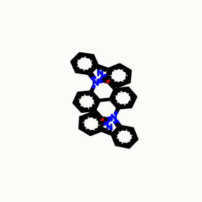 N#Cc1cccc(-n2c3ccccc3c3ccccc32)c1-c1c(C#N)cccc1-n1c2ccccc2c2ccccc21